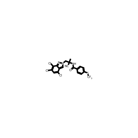 CC(C#N)(Cn1cc2c(Cl)cc(Cl)c(Cl)c2n1)NC(=O)c1ccc(SC(F)(F)F)cc1